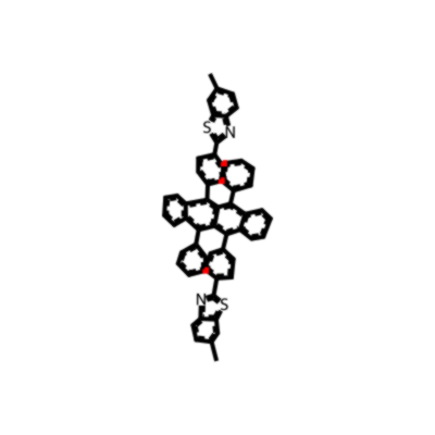 Cc1ccc2nc(-c3ccc(-c4c5ccccc5c(-c5ccccc5)c5c(-c6ccc(-c7nc8ccc(C)cc8s7)cc6)c6ccccc6c(-c6ccccc6)c45)cc3)sc2c1